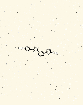 Cc1ccc(-c2nnc(-c3cccc(-c4nnc(C)o4)c3)o2)cc1